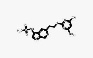 CS(=O)(=O)Nc1csc2cnc(CCSc3nc(N)cc(C#N)n3)cc12